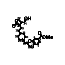 COC(=O)c1ccc2c(c1)OC(CN1CCC(CCN3C(=O)OC[C@H]3CO)CC1)CO2